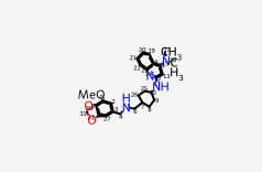 COc1cc(CNCC2CCC(Nc3cc(N(C)C)c4ccccc4n3)CC2)cc2c1OCO2